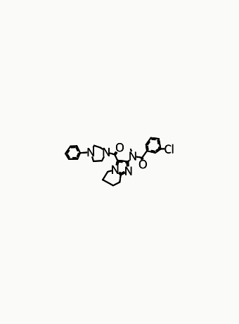 CN(C(=O)c1cccc(Cl)c1)c1nc2n(c1C(=O)N1CCN(c3ccccc3)CC1)CCCC2